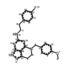 COc1ccc(CN2CCc3n[nH]c4nc(NCCc5ccc(F)cc5)nc2c34)cc1